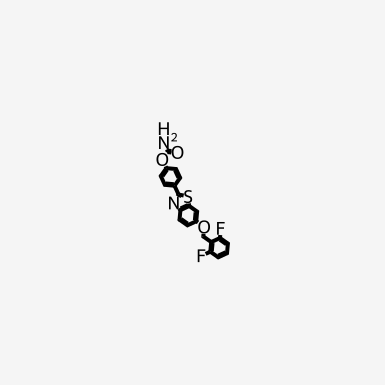 NC(=O)Oc1ccc(-c2nc3ccc(OCc4c(F)cccc4F)cc3s2)cc1